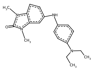 CCN(CC)c1ccc(Nc2ccc3c(c2)n(C)c(=O)n3C)cc1